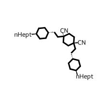 CCCCCCC[C@H]1CC[C@H](CC[C@]2(C#N)CC[C@@](C#N)(CC[C@H]3CC[C@H](CCCCCCC)CC3)CC2)CC1